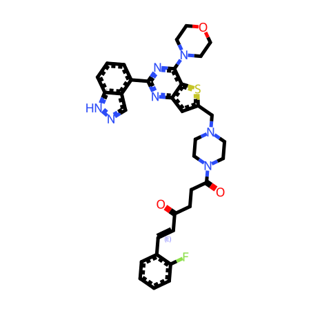 O=C(/C=C/c1ccccc1F)CCC(=O)N1CCN(Cc2cc3nc(-c4cccc5[nH]ncc45)nc(N4CCOCC4)c3s2)CC1